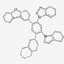 c1ccc2c(c1)ccn2-c1cc(-n2ccc3ccccc32)c(-c2ccc3oc4ccccc4c3c2)cc1-c1ccc2c(c1)CCCC2